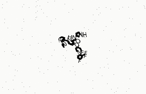 CCOc1ncccc1-c1ccc(OC2CCN(c3ccc(F)cc3C(F)(F)F)CC2)c(C(=O)N[C@@H]2CCNC2)n1